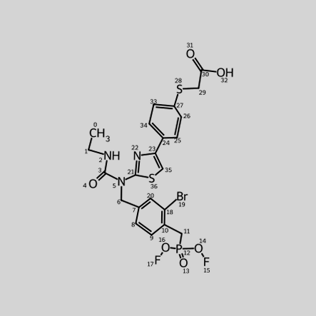 CCNC(=O)N(Cc1ccc(CP(=O)(OF)OF)c(Br)c1)c1nc(-c2ccc(SCC(=O)O)cc2)cs1